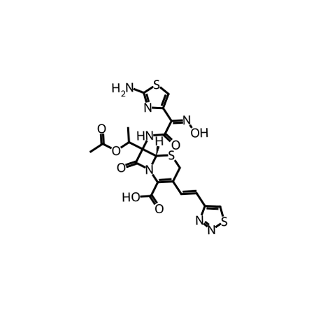 CC(=O)OC(C)C1(NC(=O)/C(=N\O)c2csc(N)n2)C(=O)N2C(C(=O)O)=C(/C=C/c3csnn3)CS[C@H]21